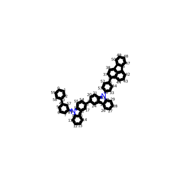 c1ccc(-c2cccc(-n3c4ccccc4c4cc(-c5ccc6c(c5)c5ccccc5n6-c5ccc(-c6ccc7c8c(cccc68)-c6ccccc6-7)cc5)ccc43)c2)cc1